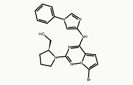 OC[C@@H]1CCCN1c1nc(Nc2cn(-c3ccccc3)cn2)c2ccc(Br)n2n1